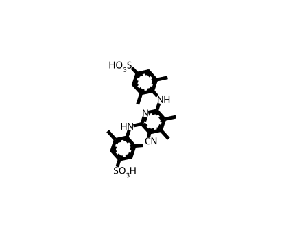 Cc1cc(S(=O)(=O)O)cc(C)c1Nc1nc(Nc2c(C)cc(S(=O)(=O)O)cc2C)c(C#N)c(C)c1C